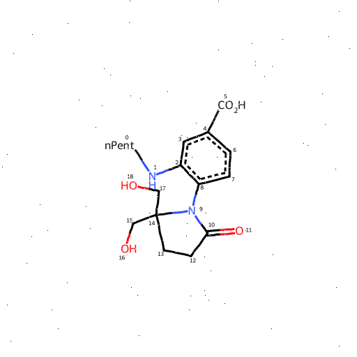 CCCCCNc1cc(C(=O)O)ccc1N1C(=O)CCC1(CO)CO